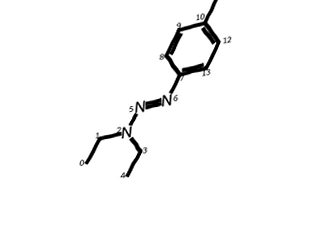 CCN(CC)N=Nc1ccc(C)cc1